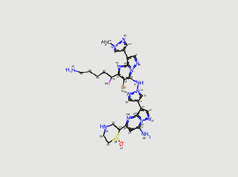 Cn1cc(-c2cnn3c(Nn4cc(-c5cnn6c(N)cc(C7CNCC[S+]7[O-])nc56)cn4)c(Br)c(C(I)CCCCN)nc23)cn1